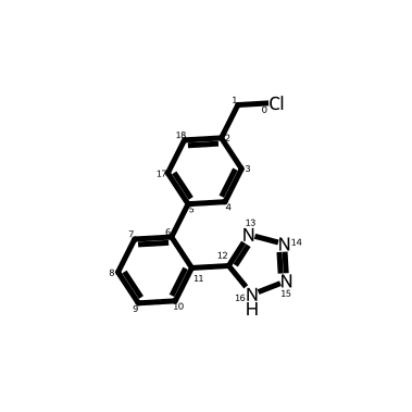 ClCc1ccc(-c2ccccc2-c2nnn[nH]2)cc1